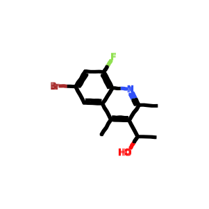 Cc1nc2c(F)cc(Br)cc2c(C)c1C(C)O